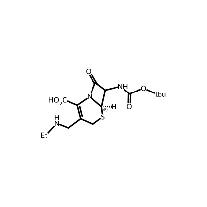 CCNCC1=C(C(=O)O)N2C(=O)C(NC(=O)OC(C)(C)C)[C@H]2SC1